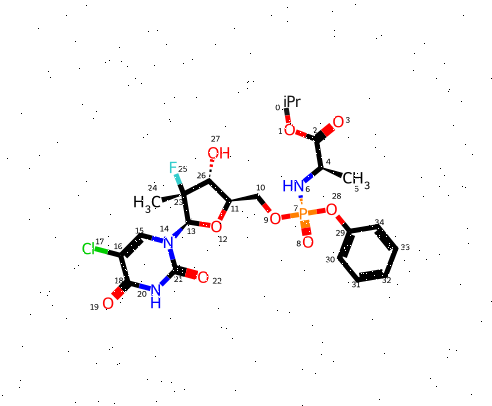 CC(C)OC(=O)[C@@H](C)N[P@](=O)(OC[C@H]1O[C@@H](n2cc(Cl)c(=O)[nH]c2=O)[C@](C)(F)[C@@H]1O)Oc1ccccc1